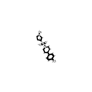 N#CN1CC[C@@H](S(=O)(=O)N2CCC(c3ccc(Cl)cc3)CC2)C1